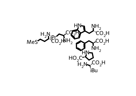 CC(C)C[C@H](N)C(=O)O.CC[C@H](C)[C@H](N)C(=O)O.CSCC[C@H](N)C(=O)O.N[C@@H](Cc1c[nH]c2ccccc12)C(=O)O.N[C@@H](Cc1ccccc1)C(=O)O.O=C(O)[C@@H]1CCCN1